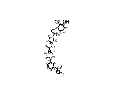 CC(=O)c1cccc(N2CCN(C(=O)CN3CC[C@@H](C(=O)Nc4ccc(O)c(Cl)c4)C3)CC2)c1